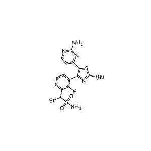 CCC(c1cccc(-c2nc(C(C)(C)C)sc2-c2ccnc(N)n2)c1F)S(N)(=O)=O